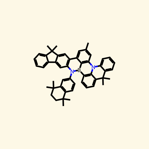 Cc1cc2c3c(c1)N1c4ccccc4C(C)(C)c4cccc(c41)B3N(c1ccc3c(c1)C(C)(C)CCC3(C)C)c1cc3c(cc1-2)C(C)(C)c1ccccc1-3